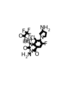 CCC(C)n1c(=O)n(N)c(=O)c2cc(F)c(N3C=C(N)CC3)c(Cl)c21.O=C(O)C(F)(F)F